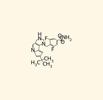 CC(C)(C)C1=CC2N=CC3=C(C2=C1)N(Cc1c(F)cc(S(N)(=O)=O)cc1F)CNC3